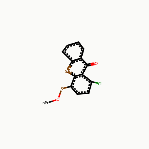 CCCOSc1ccc(Cl)c2c(=O)c3ccccc3sc12